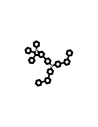 c1ccc(-c2cccc(-c3ccc(N(c4ccc(-c5cccc(-c6ccccc6)c5)cc4)c4ccc(-c5ccc6c(c5)c(-c5ccccc5)c(-c5ccccc5)n6-c5ccccc5)cc4)cc3)c2)cc1